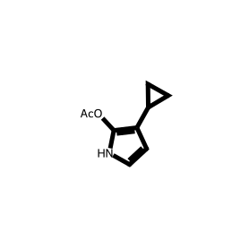 CC(=O)Oc1[nH]ccc1C1CC1